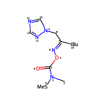 CSN(C)C(=O)ON=C(Cn1cncn1)C(C)(C)C